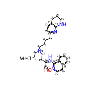 COCCN(CCCCc1ccc2c(n1)NCCC2)CC[C@H](Nc1c2ccccc2cc[n+]1O)C(C)=O